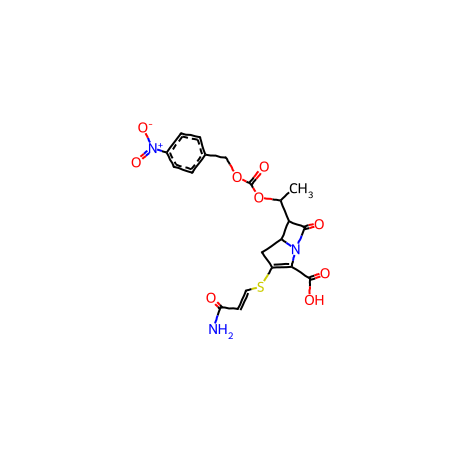 CC(OC(=O)OCc1ccc([N+](=O)[O-])cc1)C1C(=O)N2C(C(=O)O)=C(SC=CC(N)=O)CC12